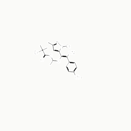 CCn1nc(C)cc1/C(OC(C)OC(=O)C(C)(C)CC)=C(\C#N)c1ccc(C(C)(C)C)cc1